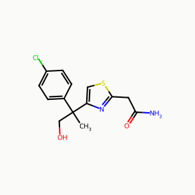 CC(CO)(c1ccc(Cl)cc1)c1csc(CC(N)=O)n1